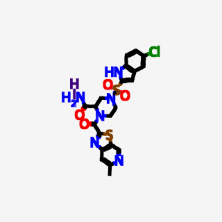 Cc1cc2nc(C(=O)N3CCN(S(=O)(=O)c4cc5cc(Cl)ccc5[nH]4)CC3C(N)=O)sc2cn1.I